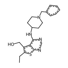 CCc1sc2ncnc(NC3CCN(Cc4ccccc4)CC3)c2c1CO